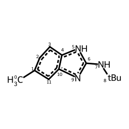 Cc1ccc2[nH]c(NC(C)(C)C)nc2c1